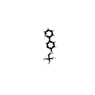 FC(F)(F)COc1ccc(-c2ccccn2)cc1